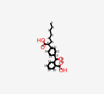 CCCCCCC(C(=O)O)c1ccc(C(=O)c2ccccc2C(=O)O)cc1